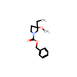 CCC1(OC)CCN(C(=O)OCc2ccccc2)C1